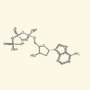 Nc1ncnc2c1ncn2[C@@H]1CC(O)[C@@H](COP(=O)(O)OP(=O)(O)OP(=O)(O)O)S1